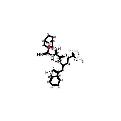 CC(C)CCC(Cc1c[nH]c2ccccc12)NC(=O)C(=N)NC(=N)N1CC2CCC(C1)N2C